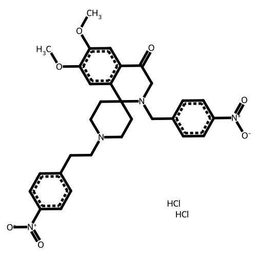 COc1cc2c(cc1OC)C1(CCN(CCc3ccc([N+](=O)[O-])cc3)CC1)N(Cc1ccc([N+](=O)[O-])cc1)CC2=O.Cl.Cl